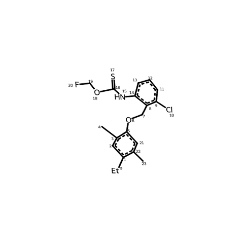 CCc1cc(C)c(OCc2c(Cl)cccc2NC(=S)OCF)cc1C